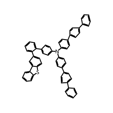 c1ccc(-c2ccc(-c3ccc(N(c4ccc(-c5ccc(-c6ccccc6)cc5)cc4)c4ccc(-c5ccccc5-c5ccc6sc7ccccc7c6c5)cc4)cc3)cc2)cc1